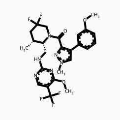 COc1cccc(-c2cn(C)nc2C(=O)N2CC(F)(F)C[C@@H](C)[C@H]2CNc2ncc(C(F)(F)F)c(OC)n2)c1